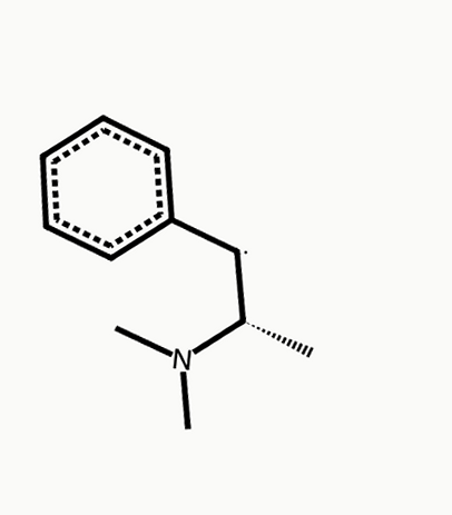 C[C@@H]([CH]c1ccccc1)N(C)C